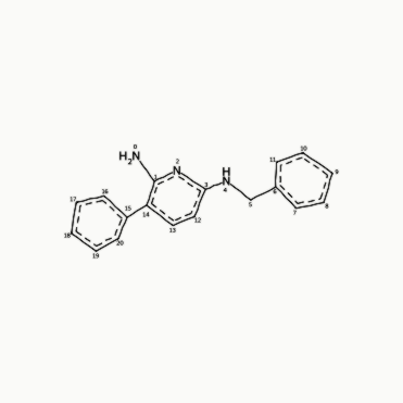 Nc1nc(NCc2ccccc2)ccc1-c1ccccc1